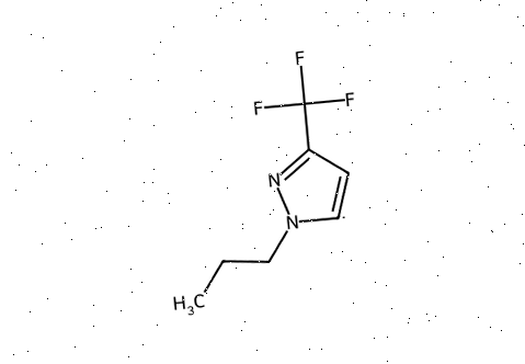 CCCn1[c]cc(C(F)(F)F)n1